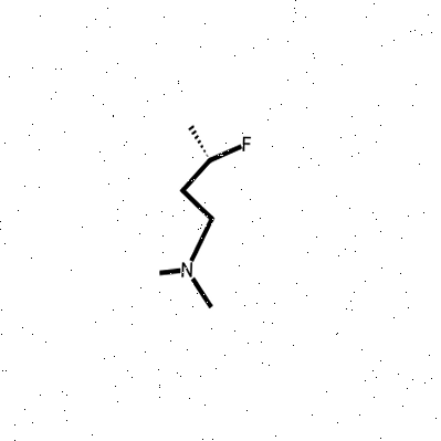 C[C@H](F)CCN(C)C